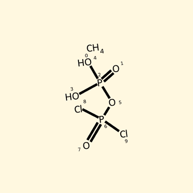 C.O=P(O)(O)OP(=O)(Cl)Cl